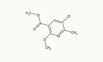 COC(=O)c1cc(Cl)c(C)nc1OC